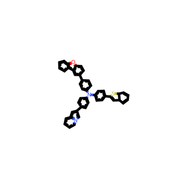 C1=CC2C=C(c3ccc(N(c4ccc(-c5ccc6oc7ccccc7c6c5)cc4)c4ccc(-c5cc6ccccn6c5)cc4)cc3)SC2C=C1